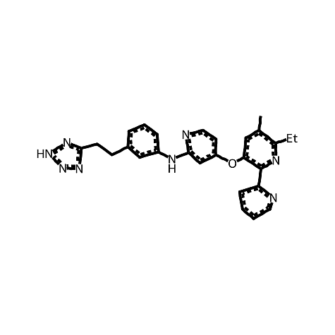 CCc1nc(-c2ccccn2)c(Oc2ccnc(Nc3cccc(CCc4nn[nH]n4)c3)c2)cc1C